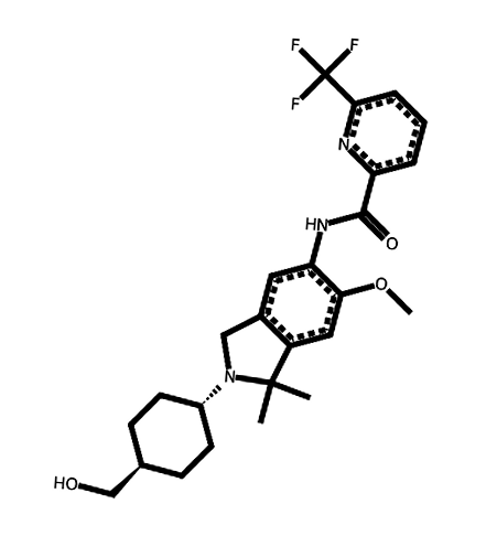 COc1cc2c(cc1NC(=O)c1cccc(C(F)(F)F)n1)CN([C@H]1CC[C@H](CO)CC1)C2(C)C